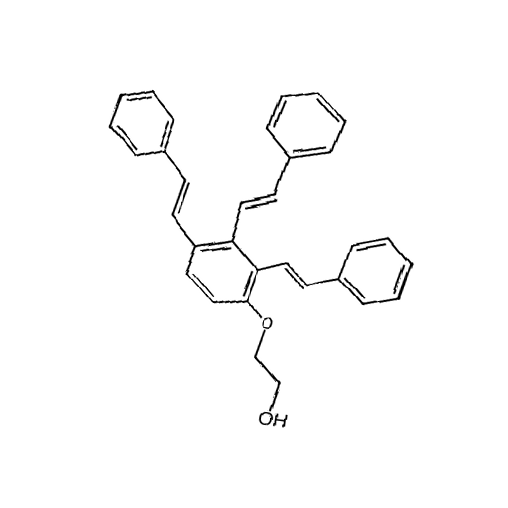 OCCOc1ccc(C=Cc2ccccc2)c(C=Cc2ccccc2)c1C=Cc1ccccc1